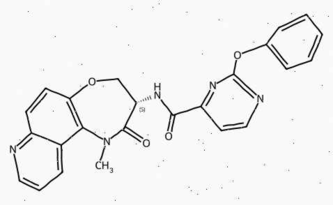 CN1C(=O)[C@@H](NC(=O)c2ccnc(Oc3ccccc3)n2)COc2ccc3ncccc3c21